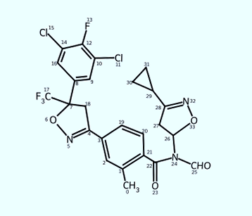 Cc1cc(C2=NOC(c3cc(Cl)c(F)c(Cl)c3)(C(F)(F)F)C2)ccc1C(=O)N(C=O)C1CC(C2CC2)=NO1